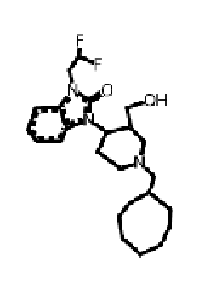 O=c1n(CC(F)F)c2ccccc2n1C1CCN(CC2CCCCCCC2)CC1CO